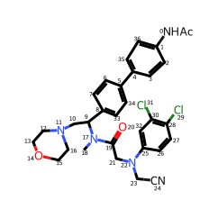 CC(=O)Nc1ccc(-c2ccc(C(CN3CCOCC3)N(C)C(=O)CN(CC#N)c3ccc(Cl)c(Cl)c3)cc2)cc1